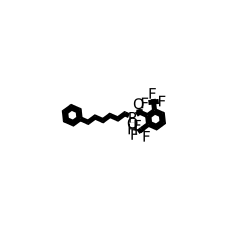 O=C(c1c(C(F)(F)F)cccc1C(F)(F)F)[PH](=O)CCCCCCc1ccccc1